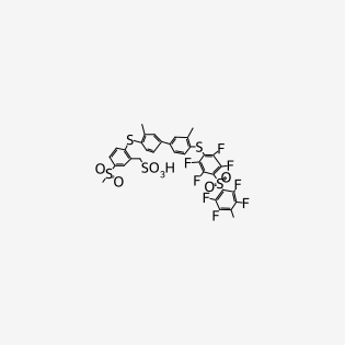 Cc1cc(-c2ccc(Sc3c(F)c(F)c(S(=O)(=O)c4c(F)c(F)c(C)c(F)c4F)c(F)c3F)c(C)c2)ccc1Sc1ccc(S(C)(=O)=O)cc1CS(=O)(=O)O